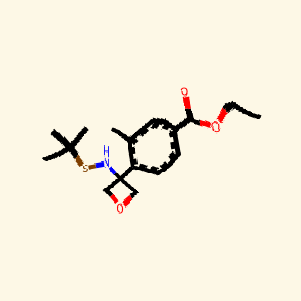 CCOC(=O)c1ccc(C2(NSC(C)(C)C)COC2)c(C)c1